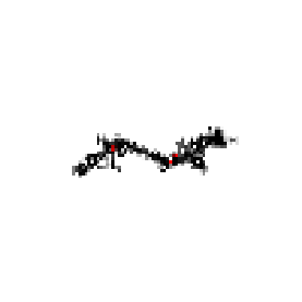 Cc1cc(-n2ccnc2)ccc1CSc1nnc(C(=O)N(C)CCOCCOCCOCCC(=O)N2CCN(CC[C@H](NC(=O)C3(N)CCN(c4ncnc5[nH]ccc45)CC3)c3ccc(Cl)cc3)CC2)s1